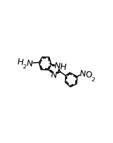 Nc1ccc2[nH]c(-c3cccc([N+](=O)[O-])c3)nc2c1